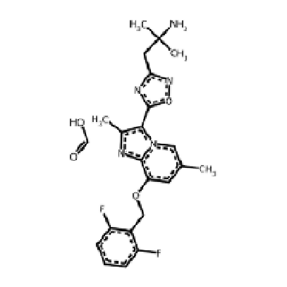 Cc1cc(OCc2c(F)cccc2F)c2nc(C)c(-c3nc(CC(C)(C)N)no3)n2c1.O=CO